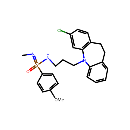 CN=S(=O)(NCCCN1c2ccccc2CCc2ccc(Cl)cc21)c1ccc(OC)cc1